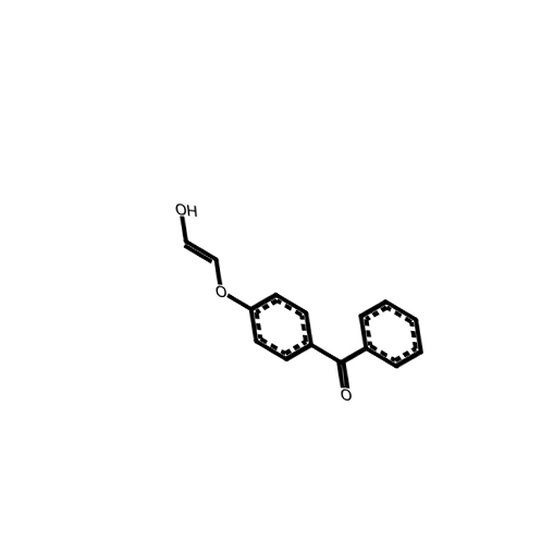 O=C(c1ccccc1)c1ccc(OC=CO)cc1